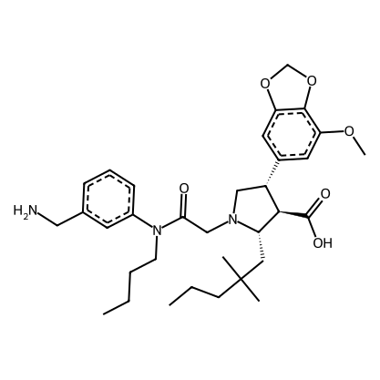 CCCCN(C(=O)CN1C[C@H](c2cc(OC)c3c(c2)OCO3)[C@@H](C(=O)O)[C@@H]1CC(C)(C)CCC)c1cccc(CN)c1